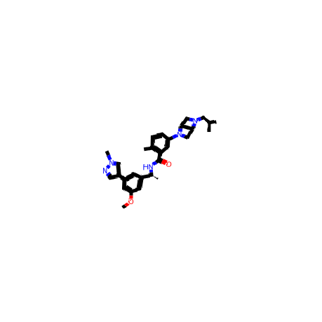 COc1cc(-c2cnn(C)c2)cc([C@@H](C)NC(=O)c2cc(N3CC4C3CN4CC(C)C)ccc2C)c1